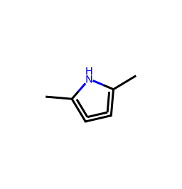 CC1=C=C=C(C)N1